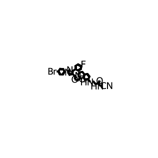 N#CNC(=O)CCNc1ccc(CCN2C(=O)COC2c2cn(-c3ccc(Br)cc3)nc2-c2ccc(F)cc2)cc1